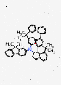 CC1(C)c2ccccc2-c2ccc(N(c3ccc4c(c3)C(C)(C)c3ccccc3-4)c3ccc4cccc5c4c3-c3ccc(-c4ccccc4)cc3C5(C)C)cc21